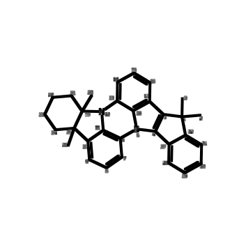 CC1(C)C2=C(B3c4cccc5c4N(c4cccc2c43)C2(C)CCCCC52C)c2ccccc21